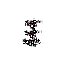 C#C[C@]1(O)CC[C@H]2[C@@H]3CCC4=Cc5oncc5C[C@]4(C)[C@H]3CC[C@@]21C.C=C1CC[C@@]2(O)[C@H]3Cc4ccc(O)c5c4[C@@]2(CCN3CC2CC2)[C@H]1O5.O=C1CC[C@@]2(O)[C@H]3Cc4ccc(O)c5c4[C@@]2(CCN3CC2CC2)[C@H]1O5